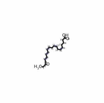 CCC1OC1/C=C/C=C/C=C\C/C=C\C/C=C\CCCC(=O)O